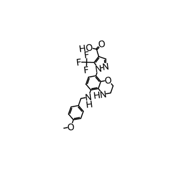 COc1ccc(CNc2ccc(-n3ncc(C(=O)O)c3C(F)(F)F)c3c2NCCO3)cc1